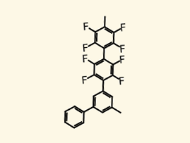 Cc1cc(-c2ccccc2)cc(-c2c(F)c(F)c(-c3c(F)c(F)c(C)c(F)c3F)c(F)c2F)c1